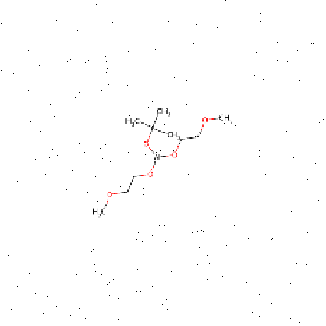 COCC[O][Al]([O]CCOC)[O]C(C)(C)C